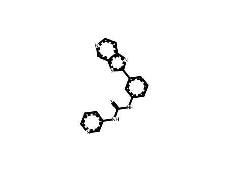 S=C(Nc1cccnc1)Nc1cccc(-c2nc3ccncc3s2)c1